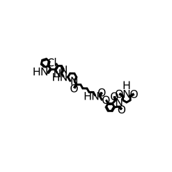 O=C(COc1cccc2c1C(=O)N(C1CCC(=O)NC1=O)C2=O)NCCCCCC(=O)N1CCCC(Nc2ncc(Cl)c(-c3c[nH]c4ccccc34)n2)C1